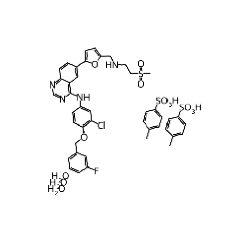 CS(=O)(=O)CCNCc1ccc(-c2ccc3ncnc(Nc4ccc(OCc5cccc(F)c5)c(Cl)c4)c3c2)o1.Cc1ccc(S(=O)(=O)O)cc1.Cc1ccc(S(=O)(=O)O)cc1.O.O.O